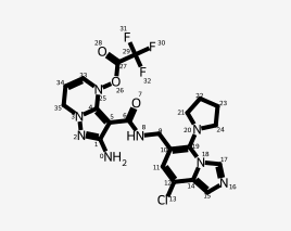 Nc1nn2c(c1C(=O)NCc1cc(Cl)c3cncn3c1N1CCCC1)N(OC(=O)C(F)(F)F)C=CC2